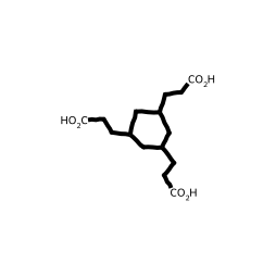 O=C(O)CCC1[CH]C(CCC(=O)O)CC(CCC(=O)O)C1